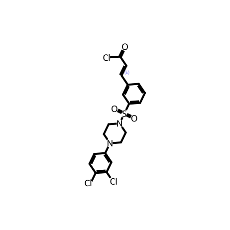 O=C(Cl)/C=C/c1cccc(S(=O)(=O)N2CCN(c3ccc(Cl)c(Cl)c3)CC2)c1